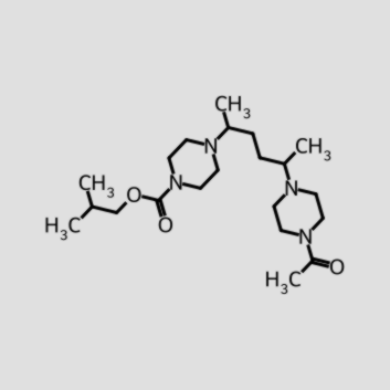 CC(=O)N1CCN(C(C)CCC(C)N2CCN(C(=O)OCC(C)C)CC2)CC1